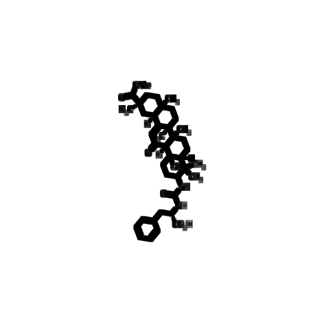 COC(=O)[C@@]1(C)CC[C@]2(C)CC[C@]3(C)C(=CC(=O)[C@@H]4[C@@]5(C)CCC(NC(=O)N[C@@H](Cc6ccccc6)C(=O)O)C(C)(C)[C@@H]5CC[C@]43C)[C@H]2C1